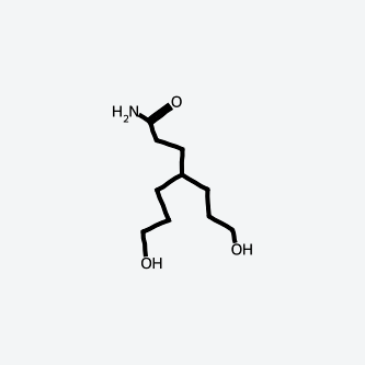 NC(=O)CCC(CCCO)CCCO